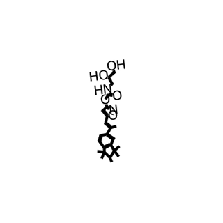 C/C(=C\c1cc(OC(=O)NCC(O)CO)no1)c1ccc2c(c1)C(C)(C)C(C)C2(C)C